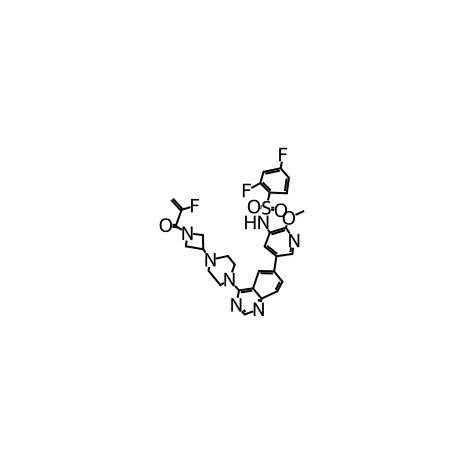 C=C(F)C(=O)N1CC(N2CCN(c3ncnc4ccc(-c5cnc(OC)c(NS(=O)(=O)c6ccc(F)cc6F)c5)cc34)CC2)C1